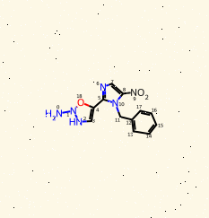 NN1NC=C(c2ncc([N+](=O)[O-])n2Cc2ccccc2)O1